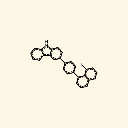 Ic1cccc2cccc(-c3ccc(-c4ccc5[nH]c6ccccc6c5c4)cc3)c12